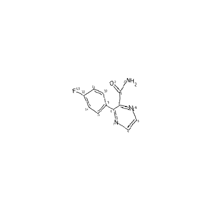 NC(=O)c1nccnc1-c1ccc(F)cc1